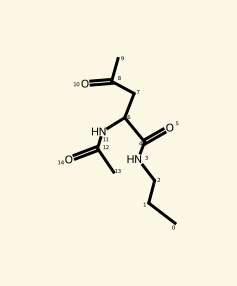 CCCNC(=O)C(CC(C)=O)NC(C)=O